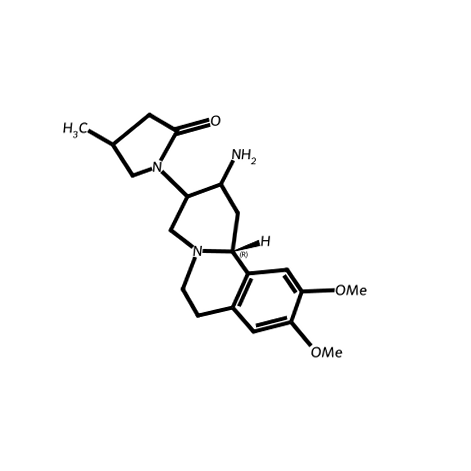 COc1cc2c(cc1OC)[C@H]1CC(N)C(N3CC(C)CC3=O)CN1CC2